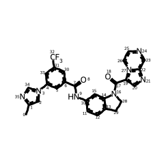 Cc1cn(-c2cc(C(=O)Nc3ccc4c(c3)N(C(=O)c3cnc5cnccn35)CC4)cc(C(F)(F)F)c2)cn1